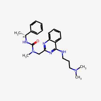 C[C@@H](NC(=O)N(C)Cc1nc(NCCCN(C)C)c2ccccc2n1)c1ccccc1